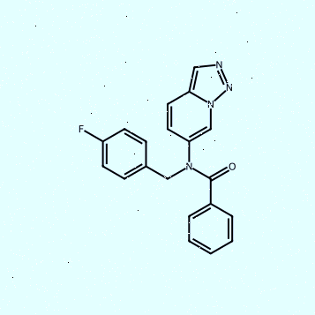 O=C(c1ccccc1)N(Cc1ccc(F)cc1)c1ccc2cnnn2c1